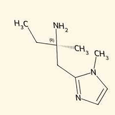 CC[C@@](C)(N)Cc1nccn1C